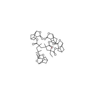 CCC(C)(CC(C)(CC(C)(CC(C)(C)C(=O)OC1C2CC3C(=O)OC1C3C2)C(=O)OC1C2CC3C(=O)OC1C3C2)C(=O)OC1C2CC3C(=O)OC1C3C2)C(=O)OC1C2CC3C(=O)OC1C3C2